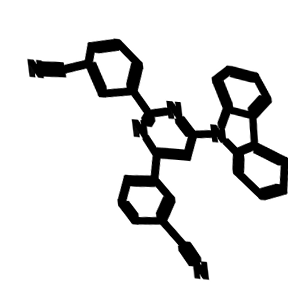 N#Cc1cccc(-c2cc(-n3c4ccccc4c4ccccc43)nc(-c3cccc(C#N)c3)n2)c1